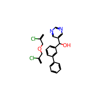 C=C(Cl)COCC(=C)Cl.OC(c1cncnc1)c1cccc(-c2ccccc2)c1